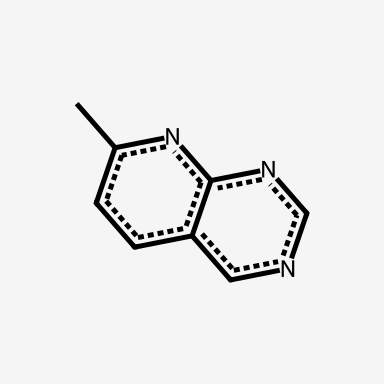 Cc1ccc2cncnc2n1